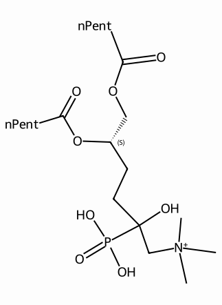 CCCCCC(=O)OC[C@H](CCC(O)(C[N+](C)(C)C)P(=O)(O)O)OC(=O)CCCCC